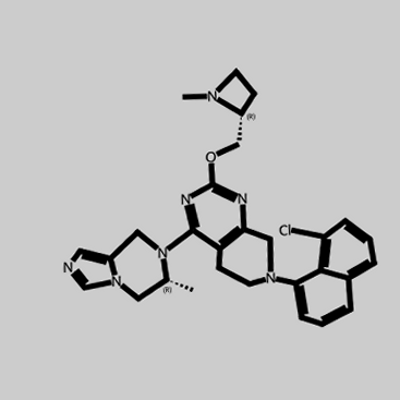 C[C@@H]1Cn2cncc2CN1c1nc(OC[C@H]2CCN2C)nc2c1CCN(c1cccc3cccc(Cl)c13)C2